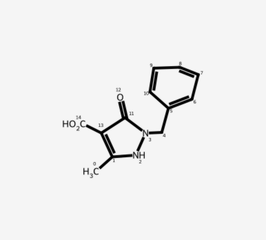 Cc1[nH]n(Cc2ccccc2)c(=O)c1C(=O)O